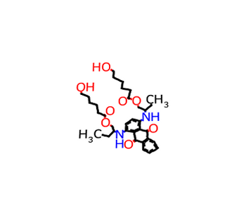 CCC(COC(=O)CCCCCO)Nc1ccc(NC(CC)COC(=O)CCCCCO)c2c1C(=O)c1ccccc1C2=O